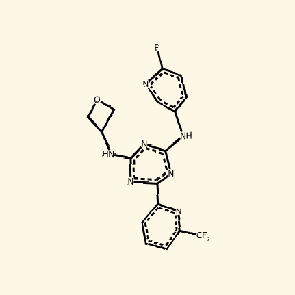 Fc1ccc(Nc2nc(NC3COC3)nc(-c3cccc(C(F)(F)F)n3)n2)cn1